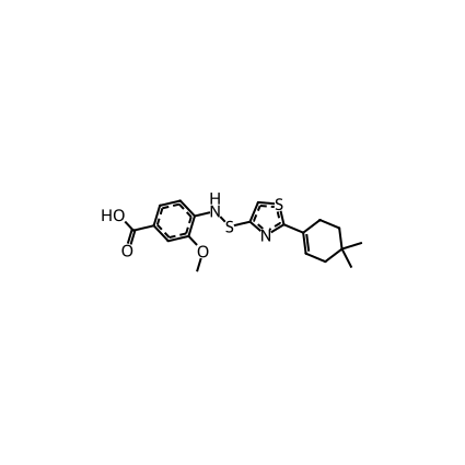 COc1cc(C(=O)O)ccc1NSc1csc(C2=CCC(C)(C)CC2)n1